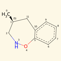 C[C@@H]1CNOc2ccccc2C1